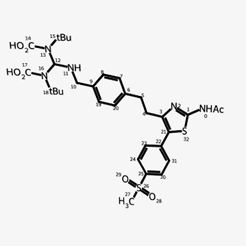 CC(=O)Nc1nc(CCc2ccc(CNC(N(C(=O)O)C(C)(C)C)N(C(=O)O)C(C)(C)C)cc2)c(-c2ccc(S(C)(=O)=O)cc2)s1